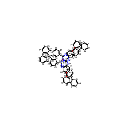 C1=CCC(C2=CCC(c3nc(-c4ccc(-c5ccccc5)cc4)nc(-c4ccc5c(c4)C4(c6ccccc6-c6ccc(-c7nc(-c8ccc(-c9ccccc9)cc8)nc(-c8ccc(-c9ccccc9)cc8)n7)cc64)c4ccccc4-5)n3)C=C2)C=C1